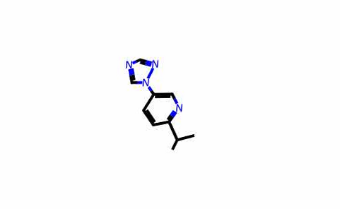 CC(C)c1ccc(-n2cncn2)cn1